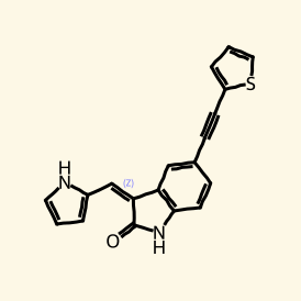 O=C1Nc2ccc(C#Cc3cccs3)cc2/C1=C/c1ccc[nH]1